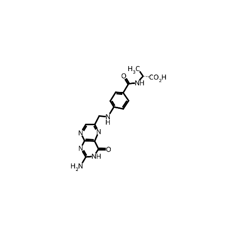 C[C@@H](NC(=O)c1ccc(NCc2cnc3nc(N)[nH]c(=O)c3n2)cc1)C(=O)O